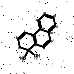 OC1(O)CC=Cc2c1ccc1ccccc21